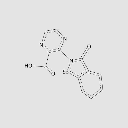 O=C(O)c1nccnc1-n1[se]c2ccccc2c1=O